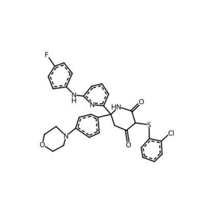 O=C1CC(c2ccc(N3CCOCC3)cc2)(c2cccc(Nc3ccc(F)cc3)n2)NC(=O)C1Sc1ccccc1Cl